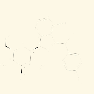 CC(=O)OC[C@H]1O[C@@H](n2cc(C(O)c3ccc(Cl)cc3)c3c(Cl)cccc32)[C@H](OC(C)=O)[C@@H](OC(C)=O)[C@@H]1OC(C)=O